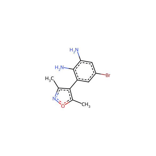 Cc1noc(C)c1-c1cc(Br)cc(N)c1N